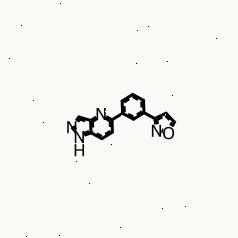 c1cc(-c2ccon2)cc(-c2ccc3[nH]ncc3n2)c1